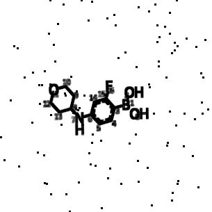 OB(O)c1ccc(NC2CCOCC2)cc1F